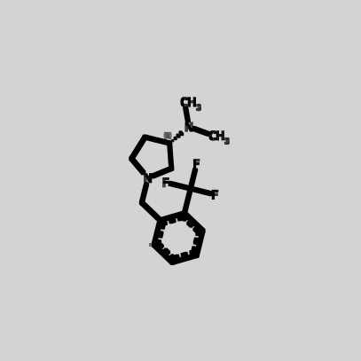 CN(C)[C@H]1CCN(Cc2[c]cccc2C(F)(F)F)C1